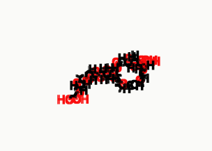 C=C1C2C[C@@H]3O[C@H]4C[C@H]5O[C@@]6(C[C@@H]7O[C@]8(C[C@H](C)C9O[C@@H]%10C[C@@H]([C@@H](O)CO)O[C@@H]%10C[C@@H]9O8)C[C@H](C)[C@@H]7O6)C[C@H]5O[C@H]4[C@H](C)[C@H]3OC(=O)C[C@H]3CC[C@@H]4OC5C6O[C@]7(O)[C@H]5O[C@@](CC[C@H]5CC(=C)[C@H](CC[C@@H](C[C@H]1C)O2)O5)(O[C@H]6[C@H]4O3)[C@@H]7O